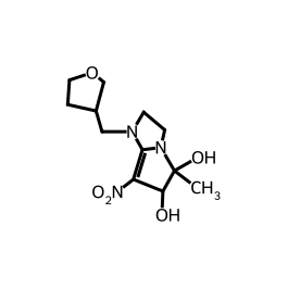 CC1(O)C(O)C([N+](=O)[O-])=C2N(CC3CCOC3)CCN21